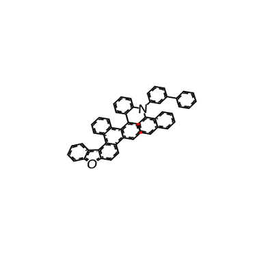 c1ccc(-c2cccc(N(c3ccccc3-c3cccc4c5ccc6oc7ccccc7c6c5c5ccccc5c34)c3cccc4ccccc34)c2)cc1